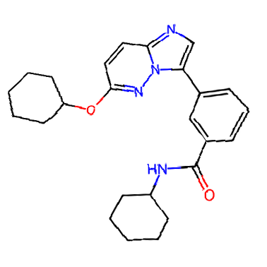 O=C(NC1CCCCC1)c1cccc(-c2cnc3ccc(OC4CCCCC4)nn23)c1